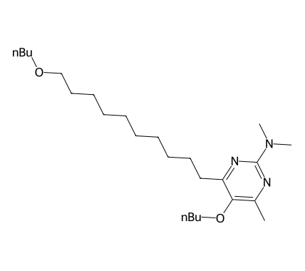 CCCCOCCCCCCCCCCc1nc(N(C)C)nc(C)c1OCCCC